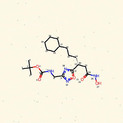 CC(C)(C)OC(=O)NCc1noc([C@H](CCCC2CCCCC2)CC(=O)NO)n1